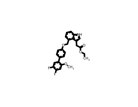 CCOC(=O)Cc1c[nH]c2cccc(COc3ccc(-c4cc(F)c(F)cc4OC)cc3)c12